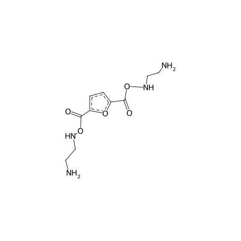 NCCNOC(=O)c1ccc(C(=O)ONCCN)o1